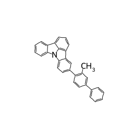 Cc1cc(-c2ccccc2)ccc1-c1ccc2c(c1)c1cccc3c4ccccc4n2c31